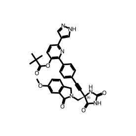 COc1ccc2c(c1)C(=O)N(C[C@@]1(C#Cc3ccc(-c4nc(-c5cn[nH]c5)ccc4OC(=O)C(C)(C)C)cc3)NC(=O)NC1=O)C2